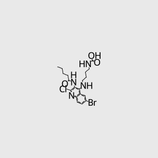 CCCCC(=O)Nc1c(Cl)nc2ccc(Br)cc2c1NCCCCNC(=O)O